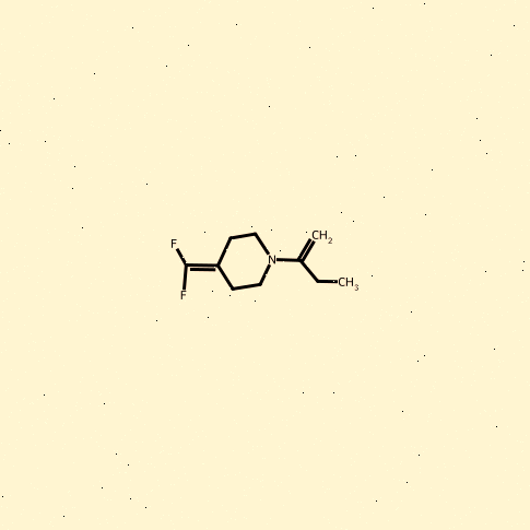 C=C(CC)N1CCC(=C(F)F)CC1